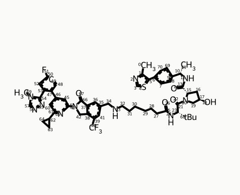 Cc1ncsc1-c1ccc([C@H](C)NC(=O)[C@@H]2C[C@@H](O)CN2C(=O)[C@@H](NC(=O)CCCCCCNCc2cc3c(c(C(F)(F)F)c2)CN(c2cc(-c4ccc(F)cc4-c4nncn4C)cc(C4CC4)n2)C3=O)C(C)(C)C)cc1